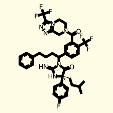 CC(C)CC[C@]1(c2ccc(F)cc2)NC(=N)N(C(CCCc2ccccc2)c2ccc(C(F)(F)F)c(C(=O)N3CCn4c(nnc4C(F)(F)F)C3)c2)C1=O